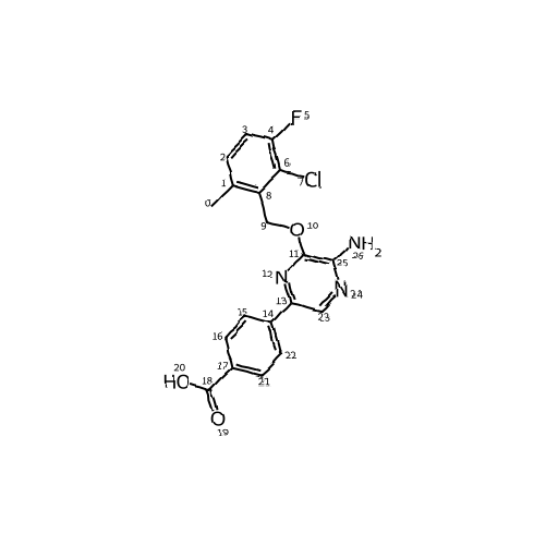 Cc1ccc(F)c(Cl)c1COc1nc(-c2ccc(C(=O)O)cc2)cnc1N